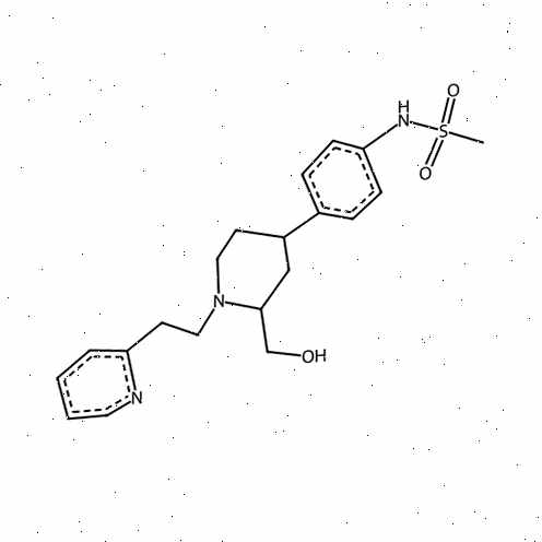 CS(=O)(=O)Nc1ccc(C2CCN(CCc3ccccn3)C(CO)C2)cc1